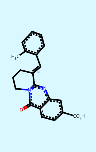 Cc1ccccc1/C=C1\CCCn2c1nc1cc(C(=O)O)ccc1c2=O